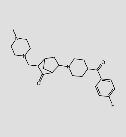 CN1CCN(CC2C(=O)C3CC2CC3N2CCC(C(=O)c3ccc(F)cc3)CC2)CC1